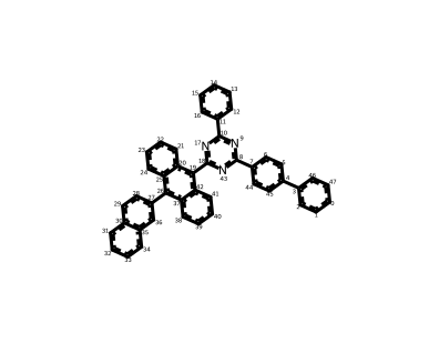 c1ccc(-c2ccc(-c3nc(-c4ccccc4)nc(-c4c5ccccc5c(-c5ccc6ccccc6c5)c5ccccc45)n3)cc2)cc1